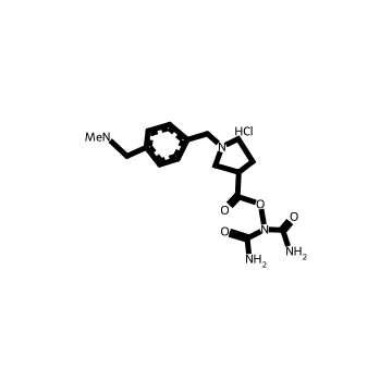 CNCc1ccc(CN2CCC(C(=O)ON(C(N)=O)C(N)=O)C2)cc1.Cl